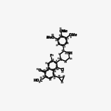 COc1cc(C2CN(c3c(F)cc4c(=O)c(C(=O)O)cn(C5CC5)c4c3Cl)CCN2)cc(OC)c1OC